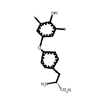 N[C@H](Cc1ccc(Oc2cc(I)c(O)c(I)c2)cc1)C(=O)O